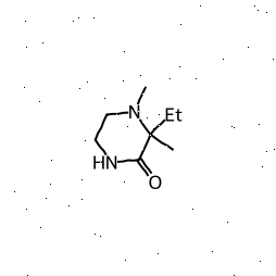 CCC1(C)C(=O)NCCN1C